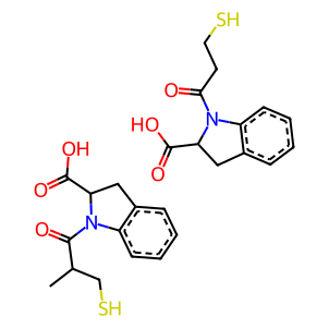 CC(CS)C(=O)N1c2ccccc2CC1C(=O)O.O=C(O)C1Cc2ccccc2N1C(=O)CCS